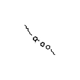 CCCCCCCCOc1ccc(C(=O)Oc2ccc([C@H]3CC[C@H](CCCCC)CC3)cc2)c(F)c1F